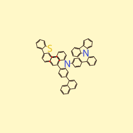 c1ccc(-c2ccc(-c3cccc4ccccc34)cc2N(c2ccc(-c3ccccc3-n3c4ccccc4c4ccccc43)cc2)c2cccc(-c3cccc4c3sc3ccccc34)c2)cc1